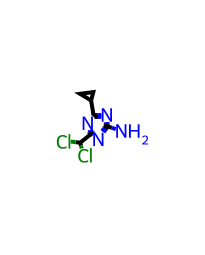 Nc1nc(C(Cl)Cl)nc(C2CC2)n1